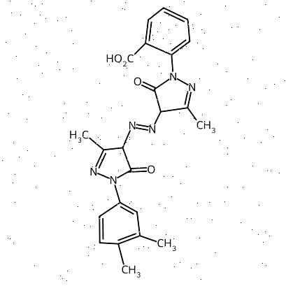 CC1=NN(c2ccc(C)c(C)c2)C(=O)C1N=NC1C(=O)N(c2ccccc2C(=O)O)N=C1C